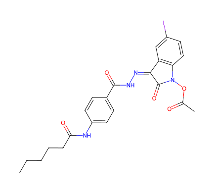 CCCCCC(=O)Nc1ccc(C(=O)NN=C2C(=O)N(OC(C)=O)c3ccc(I)cc32)cc1